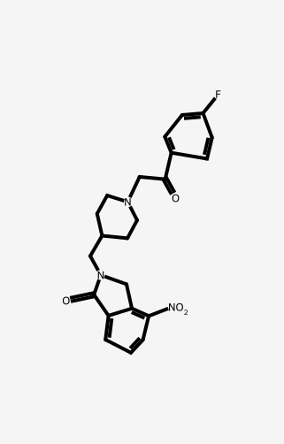 O=C(CN1CCC(CN2Cc3c(cccc3[N+](=O)[O-])C2=O)CC1)c1ccc(F)cc1